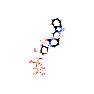 O=c1ccn([C@@H]2O[C@H](COP(=O)(O)OP(=O)(O)O)[C@H](O)C2O)c(=O)n1Cc1n[nH]c2ccccc12